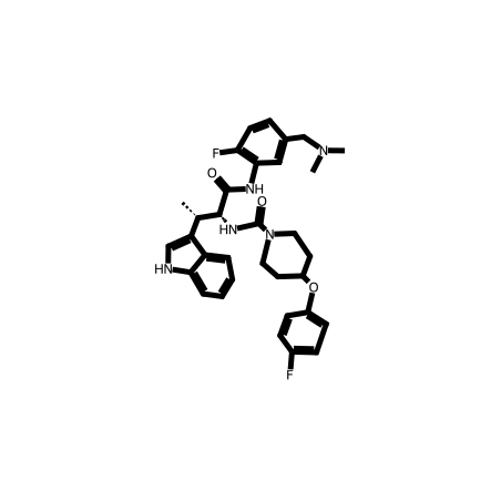 C[C@@H](c1c[nH]c2ccccc12)[C@@H](NC(=O)N1CCC(Oc2ccc(F)cc2)CC1)C(=O)Nc1cc(CN(C)C)ccc1F